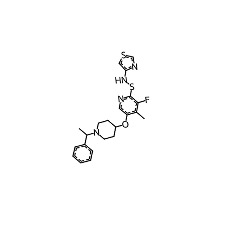 Cc1c(OC2CCN(C(C)c3ccccc3)CC2)cnc(SNc2cscn2)c1F